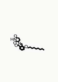 CCCCCCCCCOc1cccc2c1CN(C1CCC(=O)NC1=O)C2=O